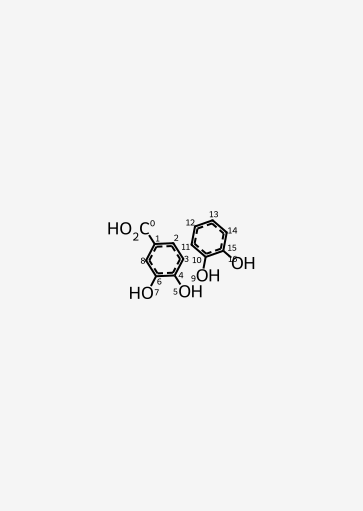 O=C(O)c1ccc(O)c(O)c1.Oc1ccccc1O